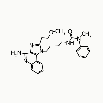 COCCc1nc2c(N)nc3ccccc3c2n1CCCCNC(=O)N(C)c1ccccc1